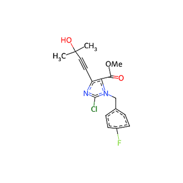 COC(=O)c1c(C#CC(C)(C)O)nc(Cl)n1Cc1ccc(F)cc1